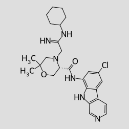 CC1(C)CN(CC(=N)NC2CCCCC2)[C@H](C(=O)Nc2cc(Cl)cc3c2[nH]c2cnccc23)CO1